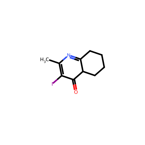 CC1=C(I)C(=O)C2CCCCC2=N1